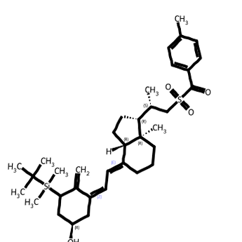 C=C1/C(=C\C=C2/CCC[C@]3(C)[C@@H]([C@H](C)CS(=O)(=O)C(=O)c4ccc(C)cc4)CC[C@@H]23)C[C@@H](O)CC1[Si](C)(C)C(C)(C)C